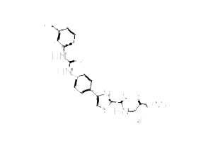 COC(=O)[C@@H](NC(=O)c1nc(-c2ccc(NC(=O)Nc3cccc(Cl)c3)cc2)cs1)C(C)C